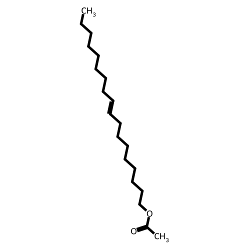 CCCCCCCC/C=C/CCCCCCCCOC(C)=O